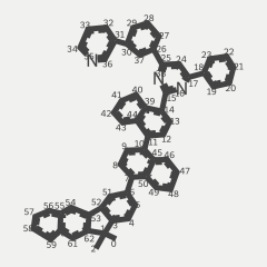 CC1(C)c2ccc(-c3ccc(-c4ccc(-c5nc(-c6ccccc6)cc(-c6cccc(-c7cccnc7)c6)n5)c5ccccc45)c4ccccc34)cc2-c2cc3ccccc3cc21